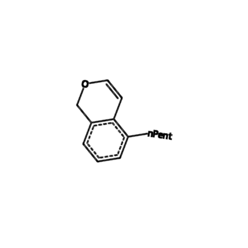 [CH2]CCCCc1cccc2c1C=COC2